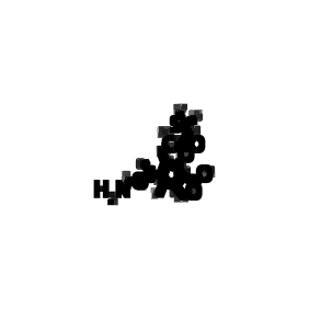 CB(OCN)c1c(C)c2c(c(OCC[Si](C)(C)C)c1CC=O)C(=O)OC2